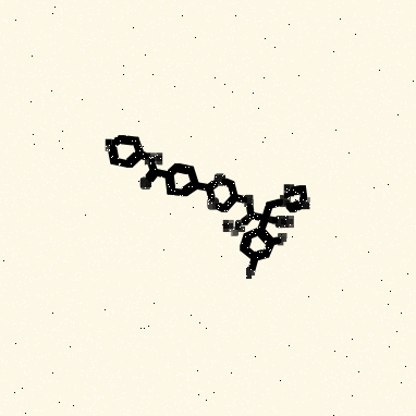 C[C@@H](SC1COC(c2ccc(C(=O)Nc3ccncc3)cc2)OC1)[C@](O)(Cn1cncn1)c1ccc(F)cc1F